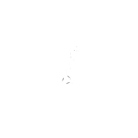 CCc1ccc(CCC2CC(CC3CC3)C2)cc1F